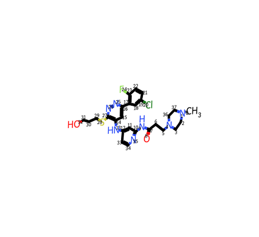 CN1CCN(CCC(=O)Nc2cc(Nc3cc(-c4cc(Cl)ccc4F)nnc3SCCCO)ccn2)CC1